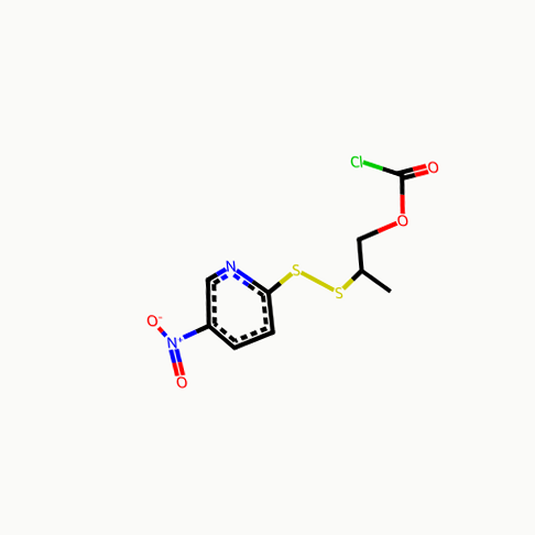 CC(COC(=O)Cl)SSc1ccc([N+](=O)[O-])cn1